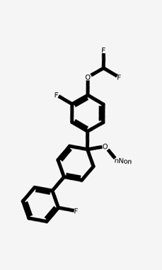 CCCCCCCCCOC1(c2ccc(OC(F)F)c(F)c2)C=CC(c2ccccc2F)=CC1